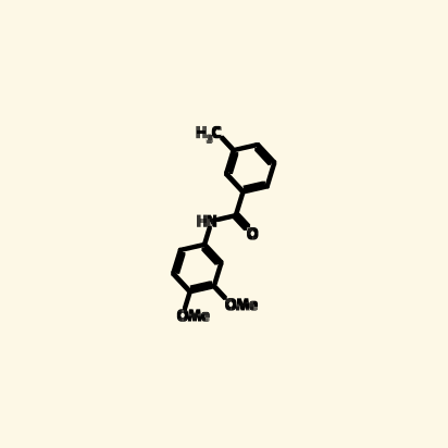 COc1ccc(NC(=O)c2cccc(C)c2)cc1OC